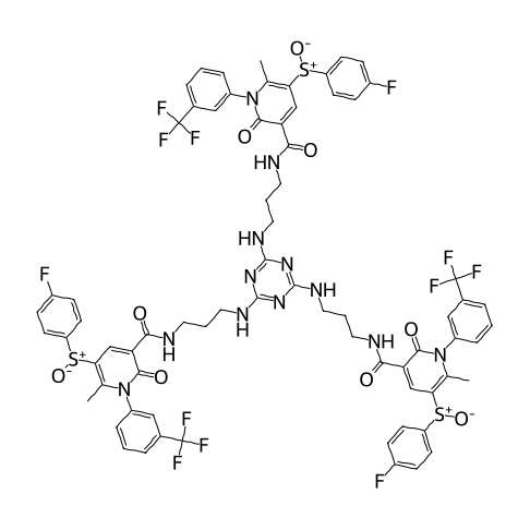 Cc1c([S+]([O-])c2ccc(F)cc2)cc(C(=O)NCCCNc2nc(NCCCNC(=O)c3cc([S+]([O-])c4ccc(F)cc4)c(C)n(-c4cccc(C(F)(F)F)c4)c3=O)nc(NCCCNC(=O)c3cc([S+]([O-])c4ccc(F)cc4)c(C)n(-c4cccc(C(F)(F)F)c4)c3=O)n2)c(=O)n1-c1cccc(C(F)(F)F)c1